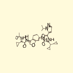 CC(=O)N[C@@H](C(=O)N[C@@H]1COc2cc(NC(=O)[C@@H](NC(=O)c3ccnn3C(C)C)C(C3CC3)C3CC3)ccc21)C1CC1